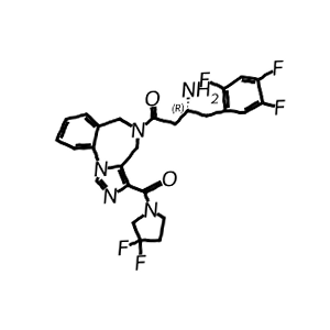 N[C@@H](CC(=O)N1Cc2ccccc2-n2cnc(C(=O)N3CCC(F)(F)C3)c2C1)Cc1cc(F)c(F)cc1F